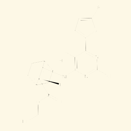 CCOC(=O)[C@@H]1C2CCC(CC2)[C@H]1Nc1nc(Cl)nc(-c2ccc(Br)s2)c1F